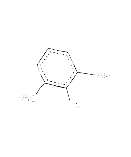 [CH2]C(=O)Oc1c(C=O)cccc1OC